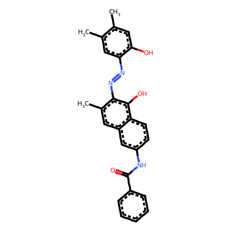 Cc1cc(O)c(N=Nc2c(C)cc3cc(NC(=O)c4ccccc4)ccc3c2O)cc1C